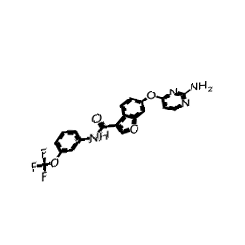 Nc1nccc(Oc2ccc3c(C(=O)Nc4cccc(OC(F)(F)F)c4)coc3c2)n1